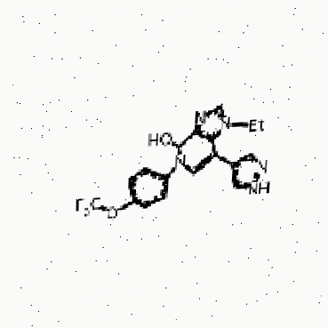 CCn1cnc2c1C(c1cn[nH]c1)=CN(c1ccc(OC(F)(F)F)cc1)C2O